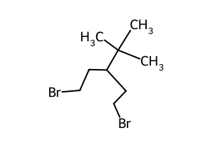 CC(C)(C)C(CCBr)CCBr